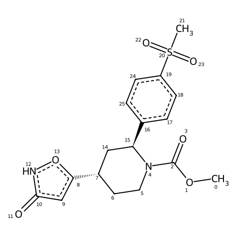 COC(=O)N1CC[C@H](c2cc(=O)[nH]o2)C[C@H]1c1ccc(S(C)(=O)=O)cc1